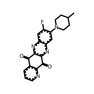 CC1CCN(c2cc3nc4c(nc3cc2F)C(=O)c2cccnc2C4=O)CC1